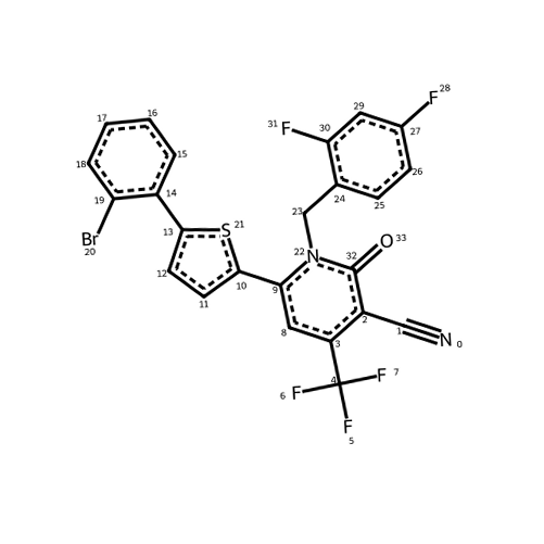 N#Cc1c(C(F)(F)F)cc(-c2ccc(-c3ccccc3Br)s2)n(Cc2ccc(F)cc2F)c1=O